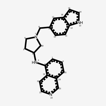 c1cc(NC2CCN(Cc3ccc4[nH]ccc4c3)C2)c2ccncc2c1